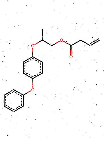 C=CCC(=O)OCC(C)Oc1ccc(Oc2ccccc2)cc1